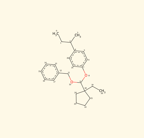 CCC(C)c1ccc(OC(OCc2ccccc2)C2(CC)CCCC2)cc1